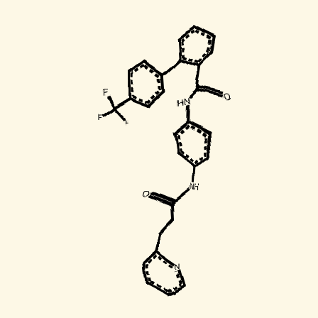 O=C(CCc1ccccn1)Nc1ccc(NC(=O)c2ccccc2-c2ccc(C(F)(F)F)cc2)cc1